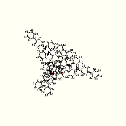 c1ccc(-c2ccc(N3c4ccccc4N(c4cc(N5c6ccccc6N(c6ccc(-c7ccccc7)cc6)c6ccccc65)cc(C5(c6cc(N7c8ccccc8N(c8ccc(-c9ccccc9)cc8)c8ccccc87)cc(N7c8ccccc8N(c8ccc(-c9ccccc9)cc8)c8ccccc87)c6)c6ccccc6-c6ccccc65)c4)c4ccccc43)cc2)cc1